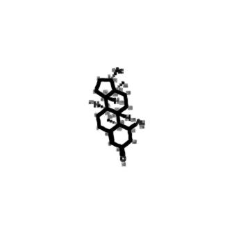 CC(=O)[C@H]1CC[C@H]2[C@@H]3CCC4=CC(=O)C[CH]([Au])[C@]4(C)[C@H]3CC[C@]12C